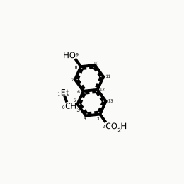 CCC.O=C(O)c1ccc2cc(O)ccc2c1